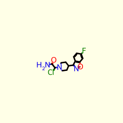 NC(=O)C(Cl)N1CCC(c2noc3cc(F)ccc23)CC1